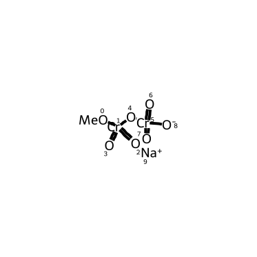 C[O][Cr](=[O])(=[O])[O][Cr](=[O])(=[O])[O-].[Na+]